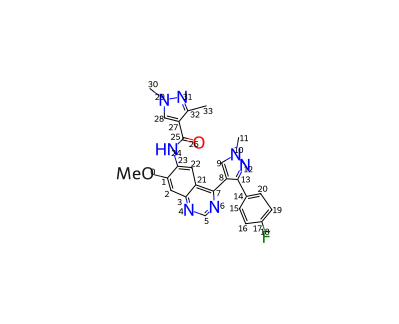 COc1cc2ncnc(-c3cn(C)nc3-c3ccc(F)cc3)c2cc1NC(=O)c1cn(C)nc1C